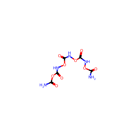 NC(=O)ONC(=O)ONC(=O)ONC(=O)OC(N)=O